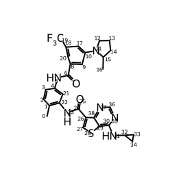 Cc1ccc(NC(=O)c2cc(N3CCCC3C)cc(C(F)(F)F)c2)cc1NC(=O)c1csc2c(NC3CC3)ncnc12